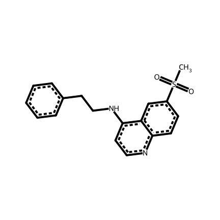 CS(=O)(=O)c1ccc2nccc(NCCc3ccccc3)c2c1